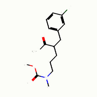 COC(=O)C(CCCN(C)C(=O)OC(C)(C)C)Cc1cccc(Br)c1